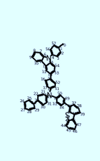 Cc1ccc(-n2c3ccccc3c3cc(-c4ccc(N(c5ccc(-c6ccccc6)cc5)c5ccc(-c6cccc7c6sc6ccccc67)cc5)cc4)ccc32)cc1